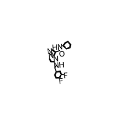 O=C(Nc1ccccc1)c1cnn2ccc(NCc3ccc(F)c(F)c3)nc12